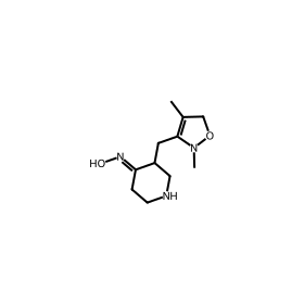 CC1=C(CC2CNCCC2=NO)N(C)OC1